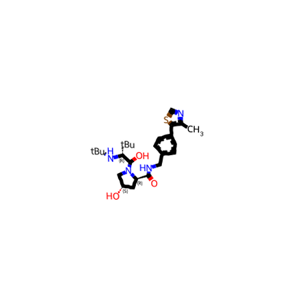 Cc1ncsc1-c1ccc(CNC(=O)[C@H]2C[C@H](O)CN2C(O)[C@H](NC(C)(C)C)C(C)(C)C)cc1